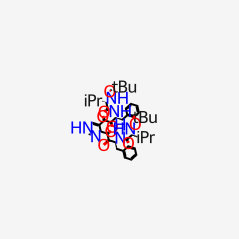 CC(C)[C@H](NOC(C)(C)C)C(=O)N[C@@H](Cc1ccccc1)C(=O)C(=O)C1=CNCN=C1C(=O)C(=O)[C@H](Cc1ccccc1)NC(=O)[C@@H](NOC(C)(C)C)C(C)C